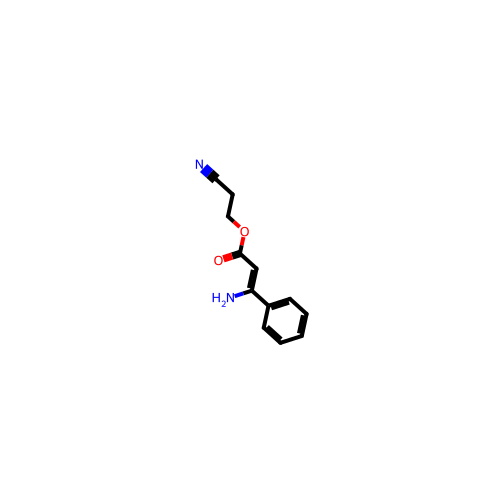 N#CCCOC(=O)C=C(N)c1ccccc1